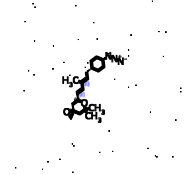 CC(/C=C/[C@@H]1C[C@]2(CO2)CC(C)(C)O1)=C\C[C@H]1CC[C@H](N=[N+]=[N-])CC1